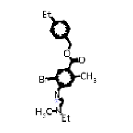 CCc1ccc(COC(=O)c2cc(Br)c(/N=C/N(C)CC)cc2C)cc1